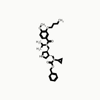 CCCCOc1cc(C(=O)N(C[C@@H]2CNC[C@H]2CN(C(=O)OCc2ccccc2)C2CC2)C(C)C)ccc1OC